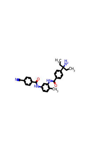 CCC(N)(CC)c1ccc(C(=O)Nc2cc(NC(=O)c3ccc(C#N)cc3)ccc2C)cc1